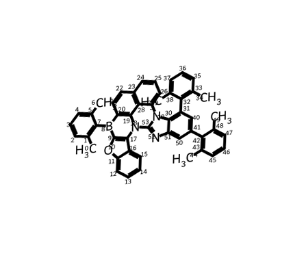 Cc1cccc(C)c1B1c2oc3ccccc3c2-n2c3c1ccc1cccc(c13)n1c3c(-c4c(C)cccc4C)cc(-c4c(C)cccc4C)cc3nc21